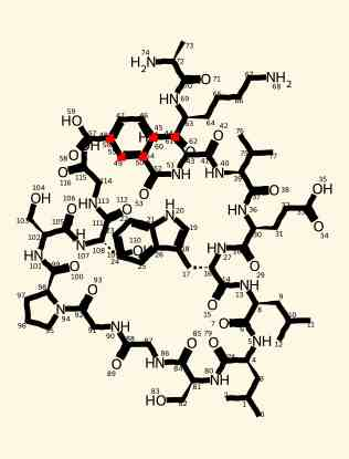 CC(C)C[C@H](NC(=O)[C@H](CC(C)C)NC(=O)[C@H](Cc1c[nH]c2ccccc12)NC(=O)[C@H](CCC(=O)O)NC(=O)[C@@H](NC(=O)[C@H](Cc1ccccc1)NC(=O)[C@H](CCC(=O)O)NC(=O)[C@H](CCCCN)NC(=O)[C@H](C)N)C(C)C)C(=O)N[C@@H](CO)C(=O)NCC(=O)NCC(=O)N1CCC[C@H]1C(=O)N[C@@H](CO)C(=O)N[C@@H](CO)C(=O)NCC(=O)O